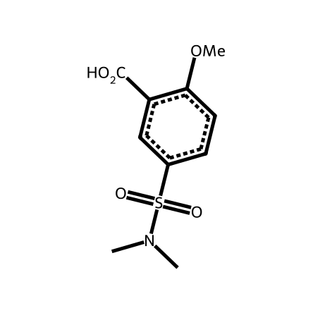 COc1ccc(S(=O)(=O)N(C)C)cc1C(=O)O